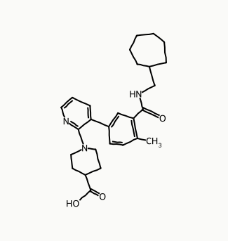 Cc1ccc(-c2cccnc2N2CCC(C(=O)O)CC2)cc1C(=O)NCC1CCCCCC1